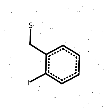 [S]Cc1ccccc1I